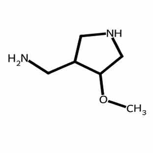 COC1CNCC1CN